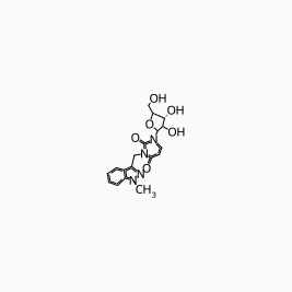 Cn1nc(Cn2c(=O)ccn(C3OC(CO)[C@H](O)C3O)c2=O)c2ccccc21